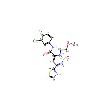 O=C(Nc1ccc(F)c(Cl)c1)C1=CC(c2nccs2)=N[S+]([O-])N1CCOC(F)(F)F